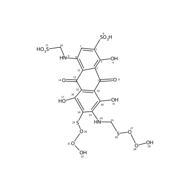 O=C1c2c(O)c(S(=O)(=O)O)cc(NCS(=O)(=O)O)c2C(=O)c2c(O)c(SOOO)c(NCSOOO)c(O)c21